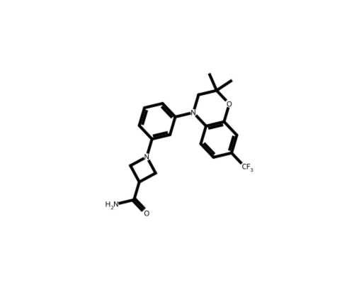 CC1(C)CN(c2cccc(N3CC(C(N)=O)C3)c2)c2ccc(C(F)(F)F)cc2O1